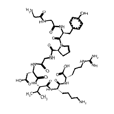 CC(C)[C@H](NC(=O)[C@H](CC(=O)O)NC(=O)CNC(=O)[C@@H]1CCCN1C(=O)[C@H](Cc1ccc(O)cc1)NC(=O)CNC(=O)CN)C(=O)N[C@@H](CCCCN)C(=O)N[C@@H](CCCNC(=N)N)C(=O)O